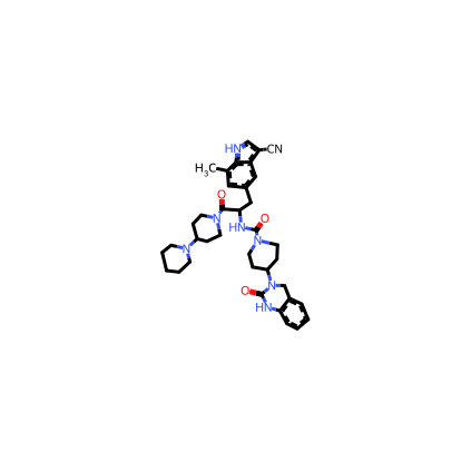 Cc1cc(CC(NC(=O)N2CCC(N3Cc4ccccc4NC3=O)CC2)C(=O)N2CCC(N3CCCCC3)CC2)cc2c(C#N)c[nH]c12